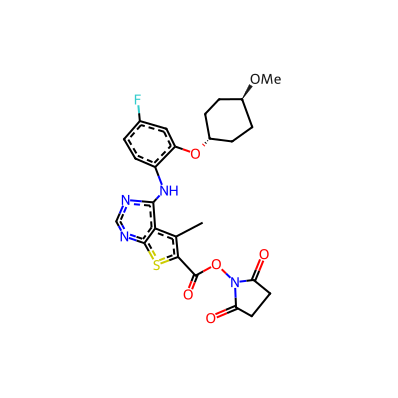 CO[C@H]1CC[C@H](Oc2cc(F)ccc2Nc2ncnc3sc(C(=O)ON4C(=O)CCC4=O)c(C)c23)CC1